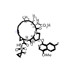 COc1cnc(O[C@@H]2C[C@H]3C(=O)NC4(C(=O)NS(=O)(=O)C5(F)CC5)CC4/C=C\CC[C@@H](C)C[C@@H](C)[C@H](NC(=O)O)C(=O)N3C2)c2cc(F)ccc12